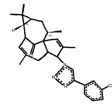 CC1=CC2C(=O)C3(C=C(C)C(n4cc(-c5cccc(C(F)(F)F)c5)nn4)C3C1)[C@H](C)CC1[C@H]2C1(C)C